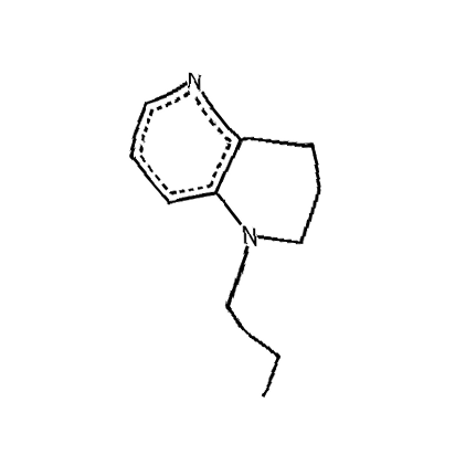 CCCN1CCCc2ncccc21